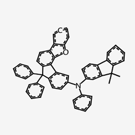 CC1(C)c2ccccc2-c2ccc(N(c3ccccc3)c3ccc4c(c3)-c3c(ccc5c3oc3ccccc35)C4(c3ccccc3)c3ccccc3)cc21